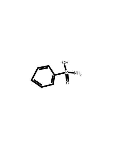 NP(=O)(O)c1ccccc1